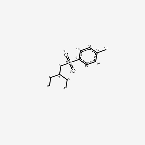 CCC(CC)CS(=O)(=O)c1ccc(C)cc1